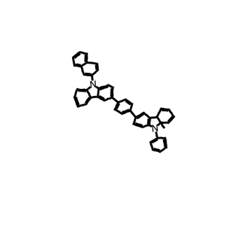 CC12C=CC=CC1c1cc(-c3ccc(-c4ccc5c(c4)c4ccccc4n5-c4ccc5ccccc5c4)cc3)ccc1N2c1ccccc1